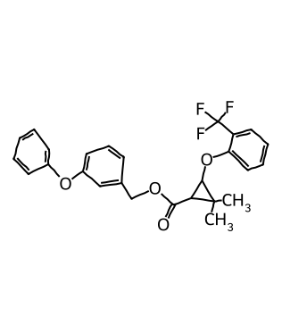 CC1(C)C(Oc2ccccc2C(F)(F)F)C1C(=O)OCc1cccc(Oc2ccccc2)c1